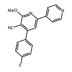 COc1nc(-c2ccncc2)cc(-c2ccc(F)cc2)c1C#N